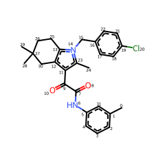 Cc1cccc(NC(=O)C(=O)c2c3c(n(Cc4ccc(Cl)cc4)c2C)CCC(C)(C)C3)c1